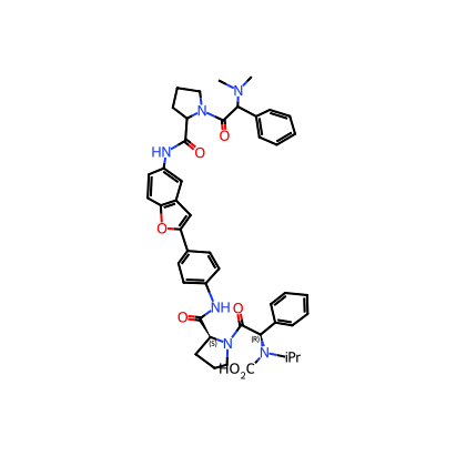 CC(C)N(C(=O)O)[C@@H](C(=O)N1CCC[C@H]1C(=O)Nc1ccc(-c2cc3cc(NC(=O)C4CCCN4C(=O)C(c4ccccc4)N(C)C)ccc3o2)cc1)c1ccccc1